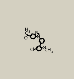 COc1ccc(Cl)cc1-c1cccc(-n2cnc3cc(C(C)=O)ccc32)c1